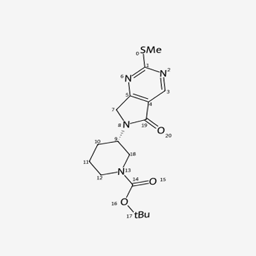 CSc1ncc2c(n1)CN([C@H]1CCCN(C(=O)OC(C)(C)C)C1)C2=O